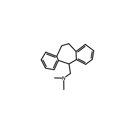 CN(C)CC1c2ccccc2CCc2ccccc21